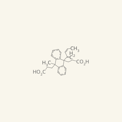 C=C(/C=C\C)C1(CCC(=O)O)c2ccccc2C(C)(CCC(=O)O)c2ccccc21